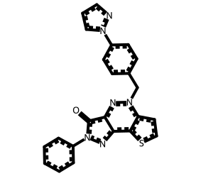 O=c1c2nn(Cc3ccc(-n4cccn4)cc3)c3ccsc3c-2nn1-c1ccccc1